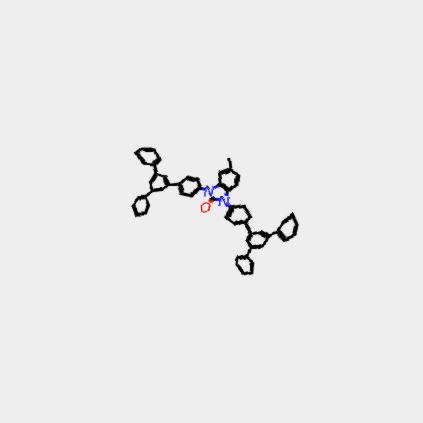 Cc1ccc2c(c1)n(-c1ccc(-c3cc(-c4ccccc4)cc(-c4ccccc4)c3)cc1)c(=O)n2C1=CC=C(c2cc(-c3ccccc3)cc(-c3ccccc3)c2)CC1